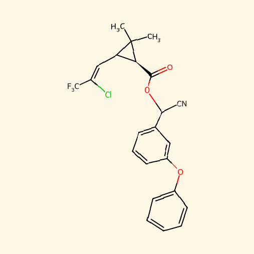 CC1(C)C(C=C(Cl)C(F)(F)F)[C@@H]1C(=O)OC(C#N)c1cccc(Oc2ccccc2)c1